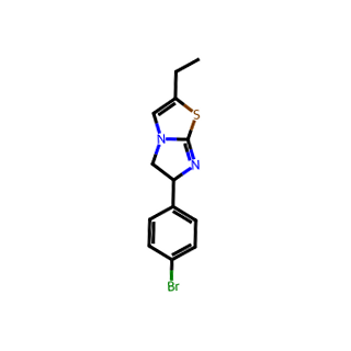 CCC1=CN2CC(c3ccc(Br)cc3)N=C2S1